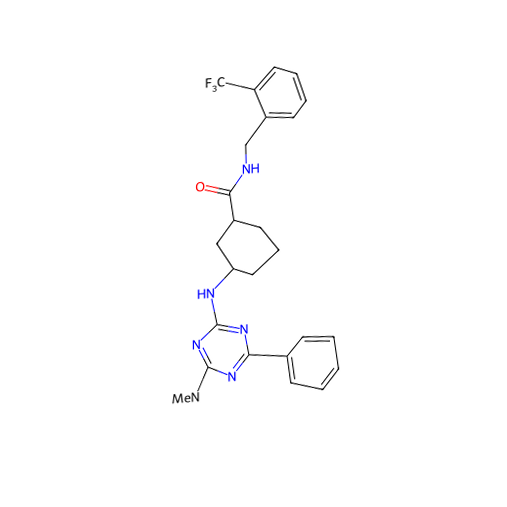 CNc1nc(NC2CCCC(C(=O)NCc3ccccc3C(F)(F)F)C2)nc(-c2ccccc2)n1